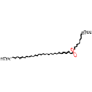 CCCCCCCCCCCCCCCCCCCCCCCCCCCCCCCCCCCCCCC(=O)OCCCCCCCCCCCCCCCCCC